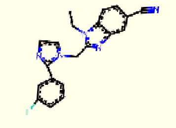 CCn1c(Cn2ccnc2-c2cccc(F)c2)nc2cc(C#N)ccc21